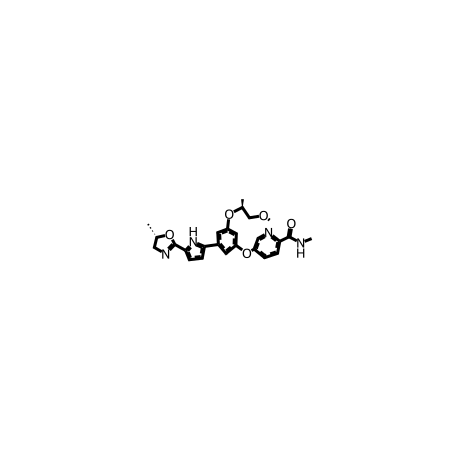 CNC(=O)c1ccc(Oc2cc(O[C@@H](C)COC)cc(-c3ccc(C4=NC[C@H](C)O4)[nH]3)c2)cn1